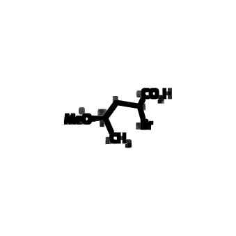 CO[C@H](C)CC(Br)C(=O)O